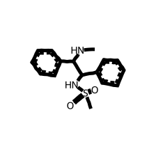 CNC(c1ccccc1)C(NS(C)(=O)=O)c1ccccc1